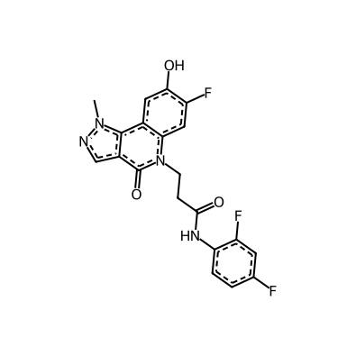 Cn1ncc2c(=O)n(CCC(=O)Nc3ccc(F)cc3F)c3cc(F)c(O)cc3c21